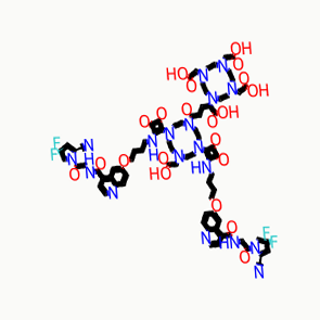 N#C[C@@H]1CC(F)(F)CN1C(=O)CNC(=O)c1ccnc2ccc(OCCCCNc3c(N4CCN(CC(=O)O)CCN(c5c(NCCCCOc6ccc7nccc(C(=O)NCC(=O)N8CC(F)(F)C[C@H]8C#N)c7c6)c(=O)c5=O)CCN(C(=O)CCC(C(=O)O)N5CCN(CC(=O)O)CCN(CC(=O)O)CCN(CC(=O)O)CC5)CC4)c(=O)c3=O)cc12